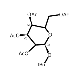 CC(=O)OCC1O[C@@H](OC(C)(C)C)C(OC(C)=O)[C@@H](OC(C)=O)[C@H]1OC(C)=O